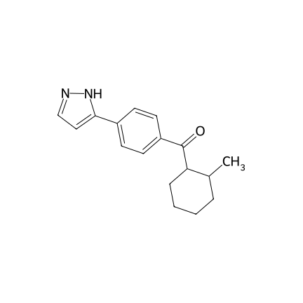 CC1CCCCC1C(=O)c1ccc(-c2ccn[nH]2)cc1